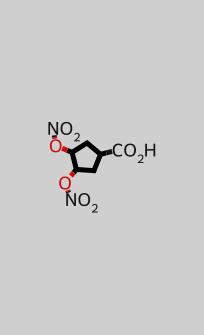 O=C(O)C1CC(O[N+](=O)[O-])C(O[N+](=O)[O-])C1